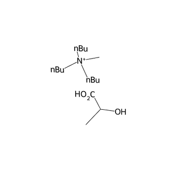 CC(O)C(=O)O.CCCC[N+](C)(CCCC)CCCC